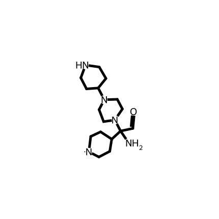 NC(C=O)(C1CC[N]CC1)N1CCN(C2CCNCC2)CC1